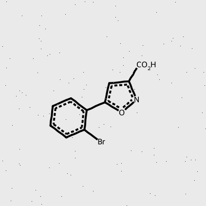 O=C(O)c1cc(-c2ccccc2Br)on1